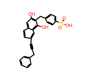 O=S(=O)(O)c1ccc(Cc2c(O)cc3ccc(C#CCc4ccccc4)cc3c2O)cc1